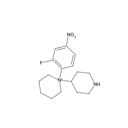 O=[N+]([O-])c1ccc([N+]2(C3CCNCC3)CCCCC2)c(F)c1